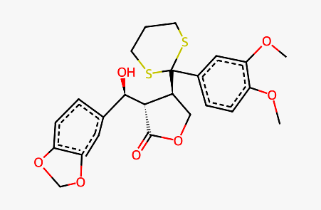 COc1ccc(C2([C@H]3COC(=O)[C@@H]3[C@H](O)c3ccc4c(c3)OCO4)SCCCS2)cc1OC